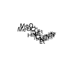 CCc1c(-c2ccc(OC)c(OC)c2)[nH]c2ccc(N(CC)C3CCN(C4CCN(C)CC4)CC3)cc12